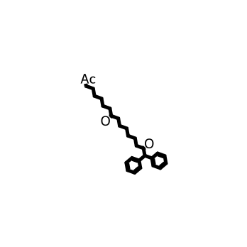 CC(=O)CCCCCCC(=O)CCCCCCC(=O)C(c1ccccc1)c1ccccc1